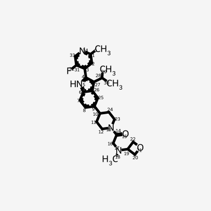 Cc1cc(-c2[nH]c3ccc(C4CCN(C(=O)CN(C)C5COC5)CC4)cc3c2C(C)C)c(F)cn1